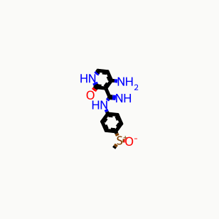 C[S+]([O-])c1ccc(NC(=N)c2c(N)cc[nH]c2=O)cc1